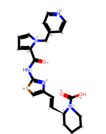 O=C(Nc1nc(C=C[C@@H]2CCCCN2C(=O)O)cs1)c1cccn1Cc1ccncc1